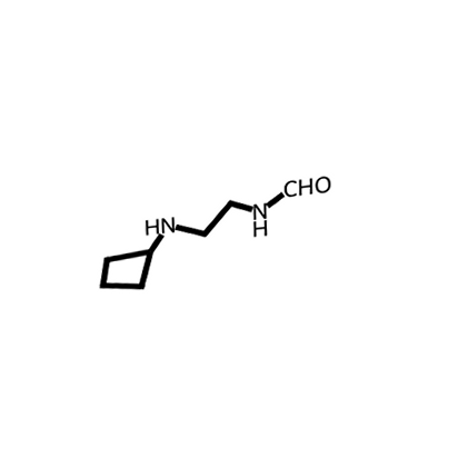 O=CNCCNC1CCC1